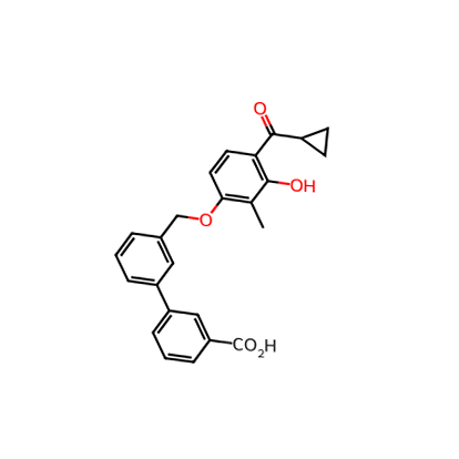 Cc1c(OCc2cccc(-c3cccc(C(=O)O)c3)c2)ccc(C(=O)C2CC2)c1O